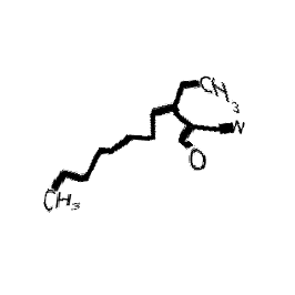 CCCCCCCCC(CC)C(C#N)C=O